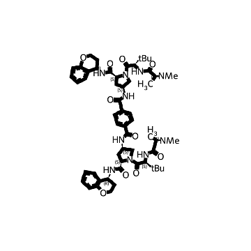 CN[C@@H](C)C(=O)N[C@H](C(=O)N1C[C@@H](NC(=O)c2ccc(C(=O)N[C@H]3C[C@@H](C(=O)N[C@@H]4CCOc5ccccc54)N(C(=O)[C@@H](NC(=O)[C@H](C)NC)C(C)(C)C)C3)cc2)C[C@H]1C(=O)N[C@@H]1CCOc2ccccc21)C(C)(C)C